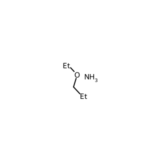 CCCOCC.N